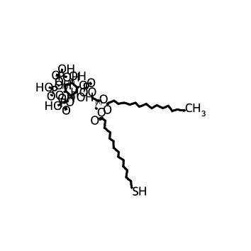 CCCCCCCCCCCCCCCC(=O)O[C@H](COC(=O)CCCCCCCCCCCCCCS)COP(=O)(O)OC1C(O)[C@H](OP(=O)(O)O)C(OP(=O)(O)O)[C@H](OP(=O)(O)O)[C@@H]1O